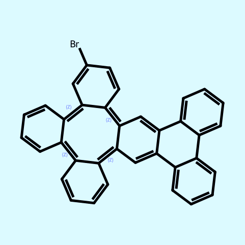 Brc1ccc2/c(c1)=c1/cccc/c1=c1\cccc\c1=c1/cc3c4ccccc4c4ccccc4c3c/c1=2